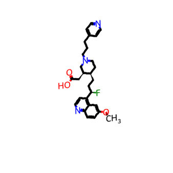 COc1ccc2nccc([C@H](F)CC[C@@H]3CCN(CCCc4ccncc4)C[C@@H]3CC(=O)O)c2c1